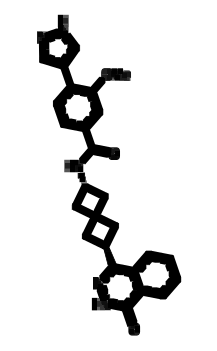 COc1cc(C(=O)N[C@H]2CC3(C2)C[C@H](c2n[nH]c(=O)c4ccccc42)C3)ccc1-c1cn[nH]c1